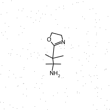 CC(C)(N)C(C)(C)C1=NCCO1